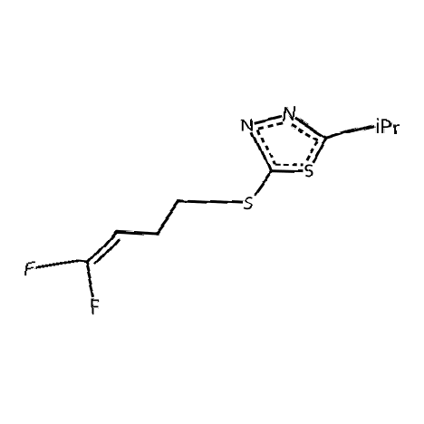 CC(C)c1nnc(SCCC=C(F)F)s1